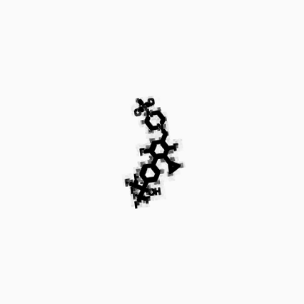 CS(=O)(=O)N1CCN(Cc2cc(F)c(-c3ccc(C(O)(C(F)(F)F)C(F)(F)F)cc3)c(C3CC3)c2F)CC1